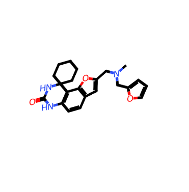 CN(Cc1ccco1)Cc1cc2ccc3c(c2o1)C1(CCCCC1)NC(=O)N3